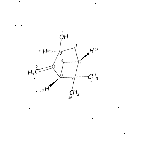 C=C1[C@@H](O)C[C@H]2C[C@@H]1C2(C)C